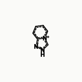 c1cc[n+]2c[nH]nc2c1